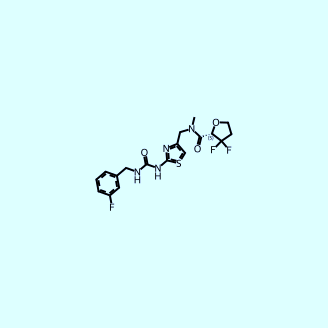 CN(Cc1csc(NC(=O)NCc2cccc(F)c2)n1)C(=O)[C@@H]1OCCC1(F)F